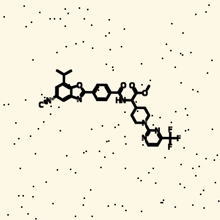 [C-]#[N+]c1cc(C(C)C)c2oc(-c3ccc(C(=O)NC(C(=O)OC)C4CCN(c5nccc(C(F)(F)F)n5)CC4)cc3)nc2c1